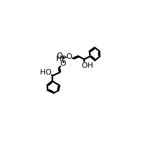 O=[PH](OC=CC(O)c1ccccc1)OC=CC(O)c1ccccc1